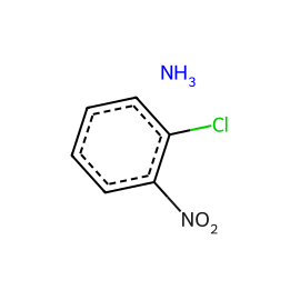 N.O=[N+]([O-])c1ccccc1Cl